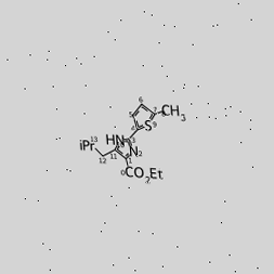 CCOC(=O)c1nc(-c2ccc(C)s2)[nH]c1CC(C)C